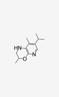 Cc1c(C(C)C)cnc2c1NCC(C)O2